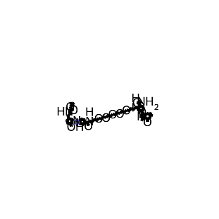 Cc1nn(-c2ccc(C(N)=O)c(NCCCOCCOCCOCCOCCOCCCNC(=O)c3ccc(/N=N/c4cc(CCNC(=O)OC(C)(C)C)ccc4O)cc3)c2)c2c1C(=O)CC(C)(C)C2